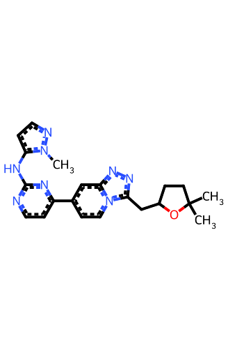 Cn1nccc1Nc1nccc(-c2ccn3c(CC4CCC(C)(C)O4)nnc3c2)n1